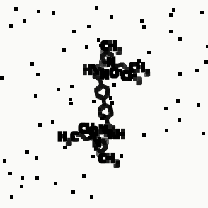 CC(C)CC(=O)N1C[C@@H](C)C[C@H]1c1nc(-c2ccc(-c3ccc(-c4c[nH]c([C@@H]5C[C@H](C)CN5C(=O)CC(C)C)n4)cc3)cc2)c[nH]1